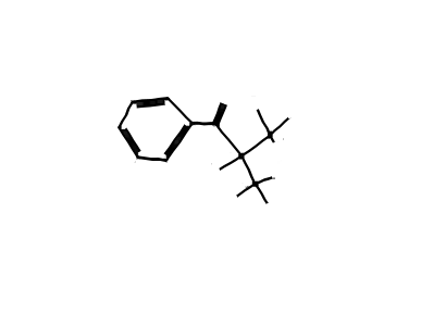 O=C(c1ccccc1)C(O)(C(F)(F)F)C(F)(F)F